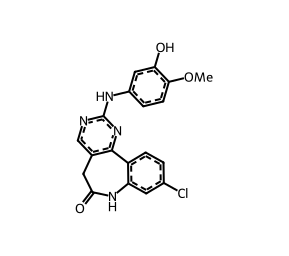 COc1ccc(Nc2ncc3c(n2)-c2ccc(Cl)cc2NC(=O)C3)cc1O